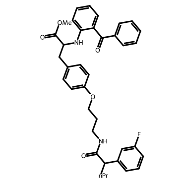 CCCC(C(=O)NCCCOc1ccc(CC(Nc2ccccc2C(=O)c2ccccc2)C(=O)OC)cc1)c1cccc(F)c1